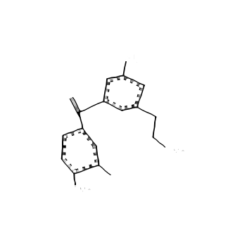 Bc1cc(CCOC)cc(C(=C)c2ccc(OC)c(C)c2)c1